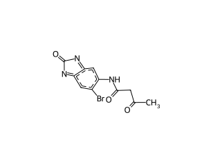 CC(=O)CC(=O)Nc1cc2c(cc1Br)=NC(=O)N=2